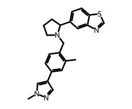 Cc1cc(-c2cnn(C)c2)ccc1CN1CCCC1c1ccc2scnc2c1